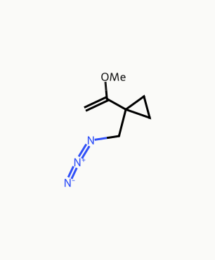 C=C(OC)C1(CN=[N+]=[N-])CC1